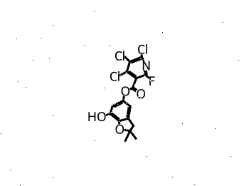 CC1(C)Cc2cc(OC(=O)c3c(F)nc(Cl)c(Cl)c3Cl)cc(O)c2O1